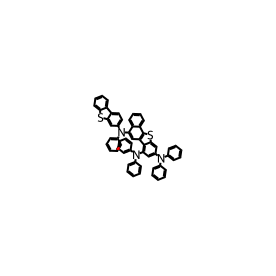 c1ccc(N(c2ccccc2)c2cc(N(c3ccccc3)c3ccccc3)c3c(c2)sc2c4ccccc4c(N(c4ccccc4)c4ccc5c(c4)sc4ccccc45)cc23)cc1